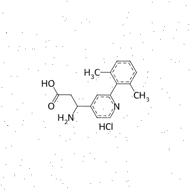 Cc1cccc(C)c1-c1cc(C(N)CC(=O)O)ccn1.Cl